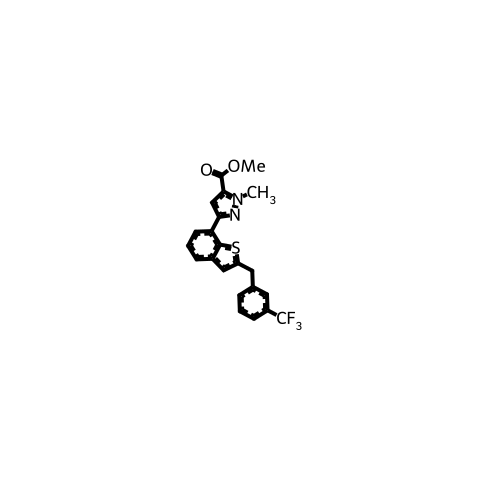 COC(=O)c1cc(-c2cccc3cc(Cc4cccc(C(F)(F)F)c4)sc23)nn1C